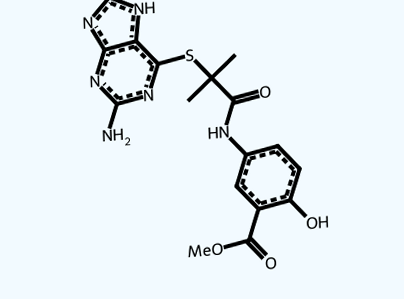 COC(=O)c1cc(NC(=O)C(C)(C)Sc2nc(N)nc3nc[nH]c23)ccc1O